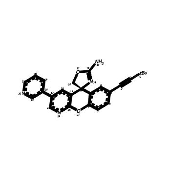 CC(C)(C)C#Cc1ccc2c(c1)[C@]1(COC(N)=N1)c1cc(-c3cccnc3)cnc1O2